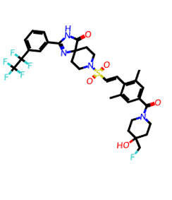 Cc1cc(C(=O)N2CCC(O)(CF)CC2)cc(C)c1/C=C/S(=O)(=O)N1CCC2(CC1)N=C(c1cccc(C(F)(F)C(F)(F)F)c1)NC2=O